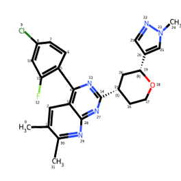 Cc1cc2c(-c3ccc(Cl)cc3F)nc([C@H]3CCO[C@@H](c4cnn(C)c4)C3)nc2nc1C